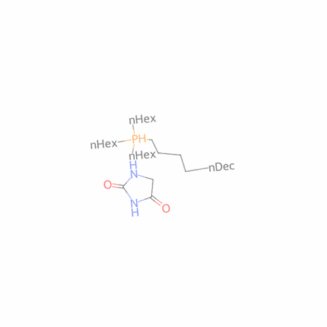 CCCCCCCCCCCCCC[PH](CCCCCC)(CCCCCC)CCCCCC.O=C1CNC(=O)N1